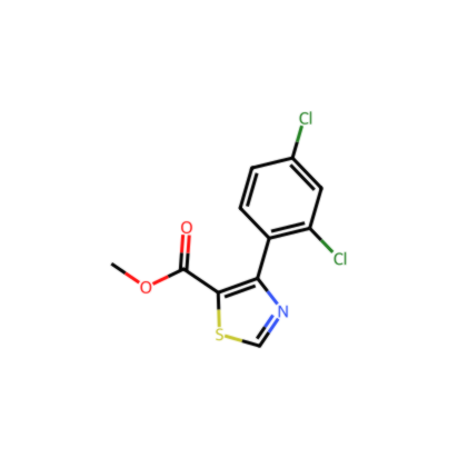 COC(=O)c1scnc1-c1ccc(Cl)cc1Cl